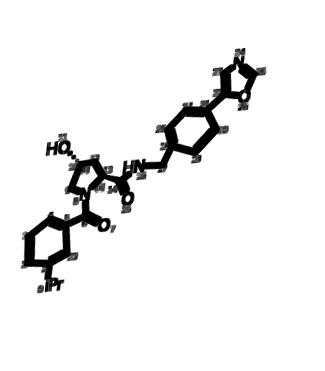 CC(C)c1cccc(C(=O)N2C[C@H](O)C[C@H]2C(=O)NCc2ccc(-c3cnco3)cc2)c1